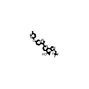 Cc1ccc(Oc2ccc3c(-c4ccc(C5(O)CC5)c(-c5cnn(CC(F)(F)F)c5)n4)cnn3c2)nn1